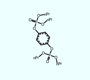 CCCOP(=O)(OCCC)Oc1ccc(OP(=O)(OCCC)OCCC)cc1